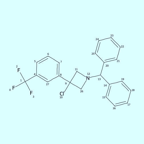 FC(F)(F)c1cccc(C2(Cl)CN(C(c3ccccc3)c3ccccc3)C2)c1